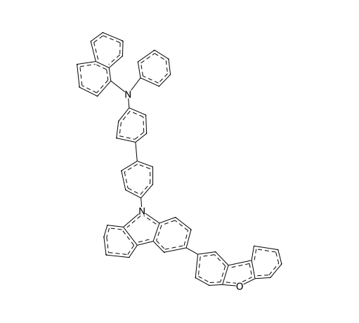 c1ccc(N(c2ccc(-c3ccc(-n4c5ccccc5c5cc(-c6ccc7oc8ccccc8c7c6)ccc54)cc3)cc2)c2cccc3ccccc23)cc1